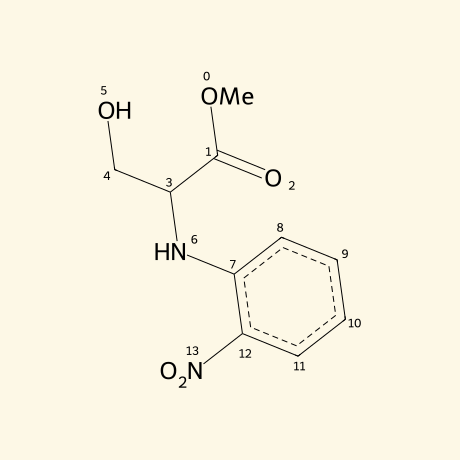 COC(=O)C(CO)Nc1ccccc1[N+](=O)[O-]